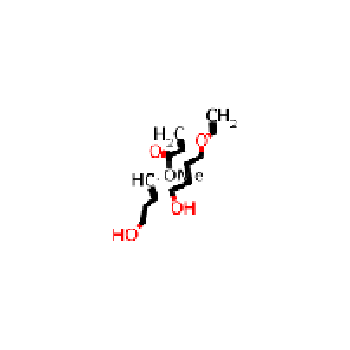 C=CC(=O)OC.C=COCCCCO.[CH]=CCCO